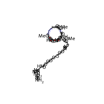 CO[C@H]1C[C@@H]2CC[C@@H](C)[C@@](O)(O2)C(=O)C(=O)N2CCCC[C@H]2C(=O)O[C@H]([C@H](N)C[C@@H]2CC[C@@H](OCCC(C)(C)Cc3cn(CCOCCOCCOCCOCCOCCOCCOCC(=O)NCCCCn4nc(-c5ccc6oc(N)nc6c5)c5c(N)ncnc54)nn3)[C@H](OC)C2)CC(=O)[C@H](C)/C=C(\C)[C@@H](O)[C@@H](OC)C(=O)[C@H](C)C[C@H](C)/C=C/C=C/C=C/1C